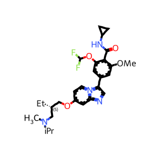 CC[C@H](COc1ccn2c(-c3cc(OC)c(C(=O)NC4CC4)c(OC(F)F)c3)cnc2c1)CN(C)C(C)C